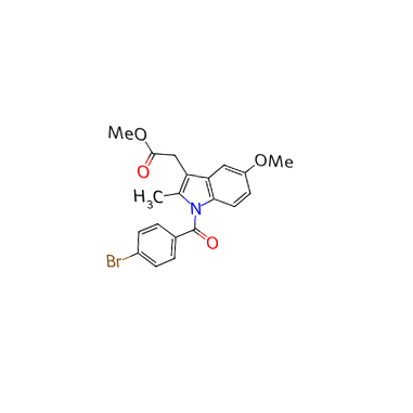 COC(=O)Cc1c(C)n(C(=O)c2ccc(Br)cc2)c2ccc(OC)cc12